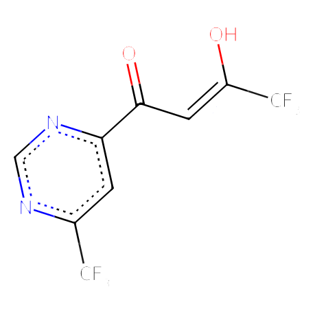 O=C(/C=C(\O)C(F)(F)F)c1cc(C(F)(F)F)ncn1